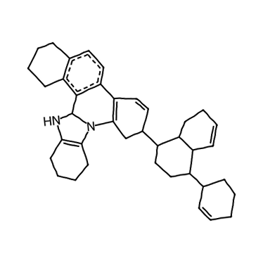 C1=CC(C2CCC(C3C=CC4=C(C3)N3C5=C(CCCC5)NC3c3c4ccc4c3CCCC4)C3CCC=CC23)CCC1